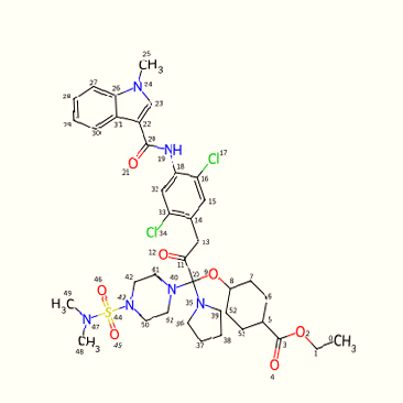 CCOC(=O)C1CCC(OC(C(=O)Cc2cc(Cl)c(NC(=O)c3cn(C)c4ccccc34)cc2Cl)(N2CCCC2)N2CCN(S(=O)(=O)N(C)C)CC2)CC1